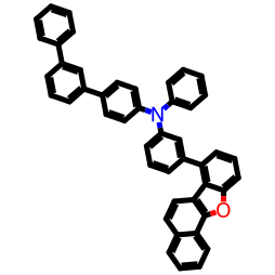 c1ccc(-c2cccc(-c3ccc(N(c4ccccc4)c4cccc(-c5cccc6oc7c8ccccc8ccc7c56)c4)cc3)c2)cc1